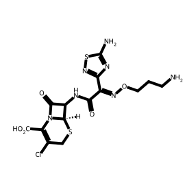 NCCCO/N=C(/C(=O)NC1C(=O)N2C(C(=O)O)=C(Cl)CS[C@H]12)c1nsc(N)n1